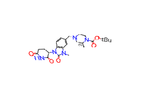 C[C@H]1CN(Cc2ccc3c(c2)n(C)c(=O)n3C2CCC(=O)NC2=O)CCN1C(=O)OC(C)(C)C